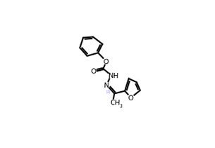 C/C(=N/NC(=O)Oc1ccccc1)c1ccco1